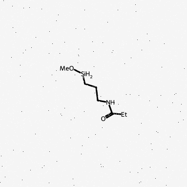 CCC(=O)NCCC[SiH2]OC